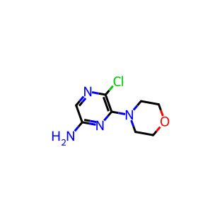 Nc1cnc(Cl)c(N2CCOCC2)n1